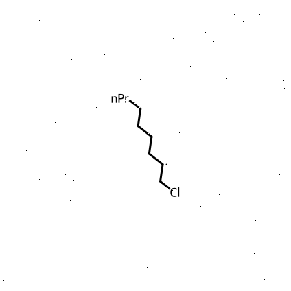 CCCCCCC[CH]CCl